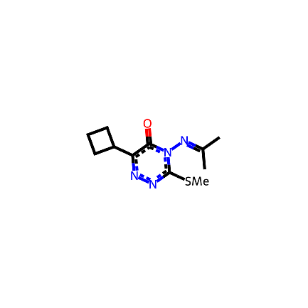 CSc1nnc(C2CCC2)c(=O)n1N=C(C)C